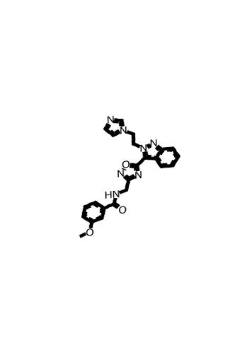 COc1cccc(C(=O)NCc2noc(-c3c4ccccc4nn3CCn3ccnc3)n2)c1